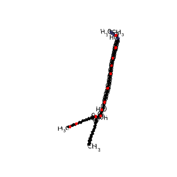 C/C=C/C(C)=C/C(=O)N/C=C\OOOOOOOOOOOOOOOOOOOOOOOOOOOOOOOOOOOOOOOOOOOOCCOC(=O)NCCOP(=O)(O)OC[C@@H](COC(=O)CCCCCCCCCCCCCCCCCCC)OC(=O)CCCCCCCCCCCCCCCCC